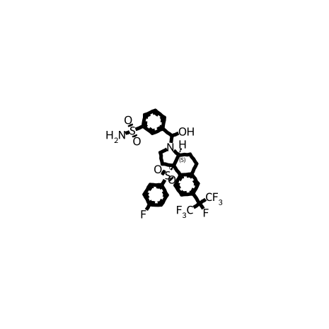 NS(=O)(=O)c1cccc(C(O)N2CC[C@]3(S(=O)(=O)c4ccc(F)cc4)c4ccc(C(F)(C(F)(F)F)C(F)(F)F)cc4CC[C@H]23)c1